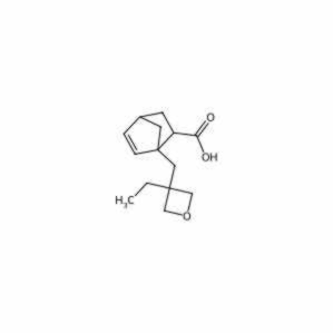 CCC1(CC23C=CC(CC2C(=O)O)C3)COC1